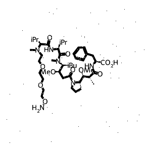 CC[C@H](C)[C@@H]([C@@H](CC(=O)N1CCC[C@H]1[C@H](OC)[C@@H](C)C(=O)N[C@@H](Cc1ccccc1)C(=O)O)OC)N(C)C(=O)[C@@H](NC(=O)[C@H](C(C)C)N(C)CCOCCOCCON)C(C)C